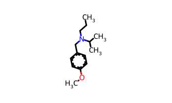 CCCN(Cc1ccc(OC)cc1)C(C)C